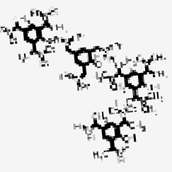 CC(c1cc(C(C)N(C)C)c(O)c(C(C)N(C)C)c1)N(C)C.CCCN(CCC)Cc1cc(CN(CCC)CCC)c(O)c(CN(CCC)CCC)c1.CCN(CC)C(C)c1cc(C(C)N(CC)CC)c(O)c(C(C)N(CC)CC)c1.CCN(CC)C(C)c1cc(C(C)N(CC)CC)c(S)c(C(C)N(CC)CC)c1